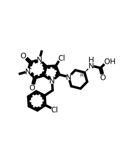 Cn1c(=O)c2c(c(Cl)c(N3CCC[C@@H](NC(=O)O)C3)n2Cc2ccccc2Cl)n(C)c1=O